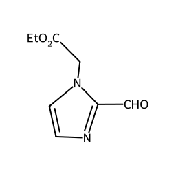 CCOC(=O)Cn1ccnc1C=O